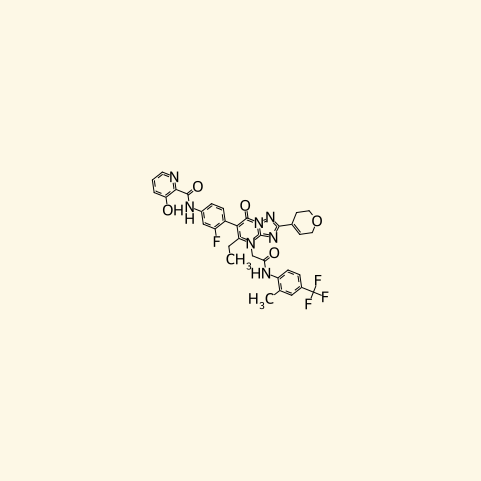 CCc1c(-c2ccc(NC(=O)c3ncccc3O)cc2F)c(=O)n2nc(C3=CCOCC3)nc2n1CC(=O)Nc1ccc(C(F)(F)F)cc1C